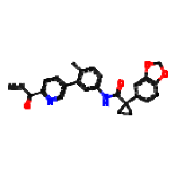 CNC(=O)c1ccc(-c2cc(NC(=O)C3(c4ccc5c(c4)OCO5)CC3)ccc2C)cn1